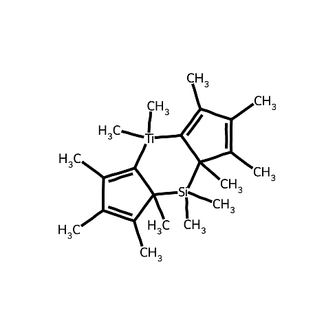 CC1=C(C)C2(C)[C](=C1C)[Ti]([CH3])([CH3])[C]1=C(C)C(C)=C(C)C1(C)[Si]2(C)C